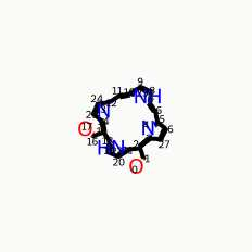 O=Cc1c2nc(cc3ccc(cc4nc(c(C=O)c5ccc1[nH]5)C=C4)[nH]3)C=C2